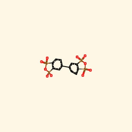 O=S1(=O)OS(=O)(=O)c2cc(-c3ccc4c(c3)S(=O)(=O)OS4(=O)=O)ccc21